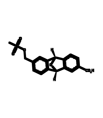 CS(=O)(=O)OCc1ccc2c(c1)[C@@H]1O[C@H]2c2cc(C(=O)O)ccc21